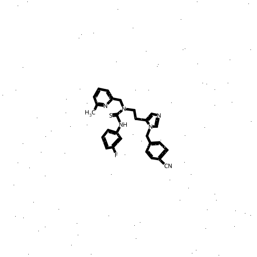 Cc1cccc(CN(CCc2cncn2Cc2ccc(C#N)cc2)C(=S)Nc2cccc(F)c2)n1